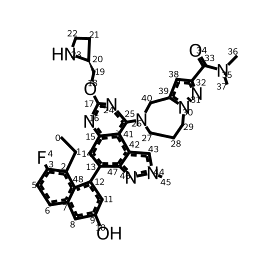 CCc1c(F)ccc2cc(O)cc(-c3cc4nc(OC[C@@H]5CCN5)nc(N5CCCn6nc(C(=O)N(C)C)cc6C5)c4c4cn(C)nc34)c12